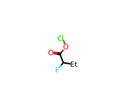 CCC(F)C(=O)OCl